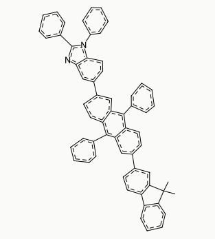 CC1(C)c2ccccc2-c2ccc(-c3ccc4c(-c5ccccc5)c5cc(-c6ccc7c(c6)nc(-c6ccccc6)n7-c6ccccc6)ccc5c(-c5ccccc5)c4c3)cc21